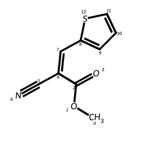 COC(=O)/C(C#N)=C\c1cccs1